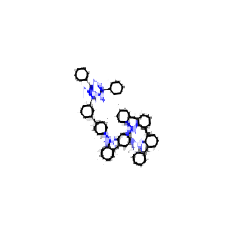 c1ccc(-c2nc(-c3ccccc3)nc(-c3cccc(-c4ccc(-n5c6ccccc6c6cc7c(cc65)n5c6ccccc6c6cccc(c8cccc9c%10ccccc%10n7c98)c65)cc4)c3)n2)cc1